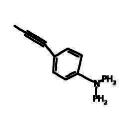 CC#Cc1ccc(N(P)P)cc1